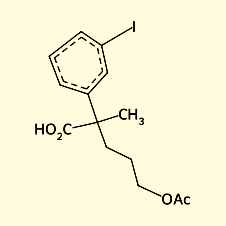 CC(=O)OCCCC(C)(C(=O)O)c1cccc(I)c1